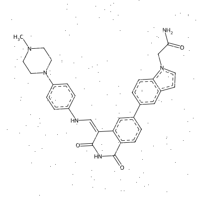 CN1CCN(c2ccc(NC=C3C(=O)NC(=O)c4ccc(-c5ccc6c(ccn6CC(N)=O)c5)cc43)cc2)CC1